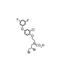 O=C(O)N(CCOc1ccc(Oc2cc(F)cc(F)c2)cc1Cl)CC(Br)CBr